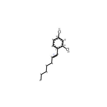 CCCCC/C=C/c1ccc(Cl)cc1Cl